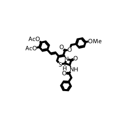 COc1ccc(COC(=O)C2=C(/C=C/c3ccc(OC(C)=O)c(OC(C)=O)c3)CS[C@@H]3[C@H](NC(=O)Cc4ccccc4)C(=O)N23)cc1